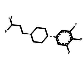 CCC(F)CC[C@H]1CC[C@H](c2cc(F)c(F)c(F)c2)CC1